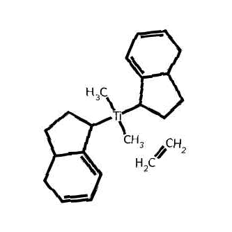 C=C.[CH3][Ti]([CH3])([CH]1CCC2CC=CC=C21)[CH]1CCC2CC=CC=C21